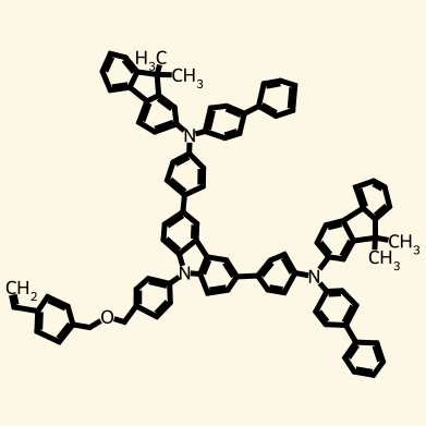 C=Cc1ccc(COCc2ccc(-n3c4ccc(-c5ccc(N(c6ccc(-c7ccccc7)cc6)c6ccc7c(c6)C(C)(C)c6ccccc6-7)cc5)cc4c4cc(-c5ccc(N(c6ccc(-c7ccccc7)cc6)c6ccc7c(c6)C(C)(C)c6ccccc6-7)cc5)ccc43)cc2)cc1